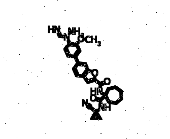 COc1cc(-c2ccc3cc(C(=O)NC4(C(=O)NC5(C#N)CC5)CCCCCC4)oc3c2)ccc1N(N)C=N